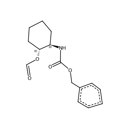 O=CO[C@@H]1CCCC[C@H]1NC(=O)OCc1ccccc1